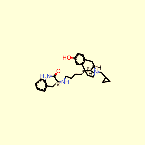 C[C@H]1[C@H]2Cc3ccc(O)cc3[C@]1(CCCCN[C@@H](Cc1ccccc1)C(N)=O)CCN2CC1CC1